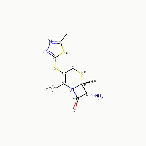 Cc1nnc(SC2=C(C(=O)O)N3C(=O)[C@@H](N)[C@H]3SC2)s1